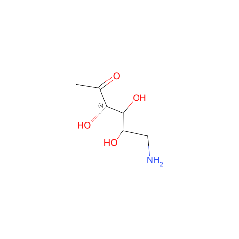 CC(=O)[C@@H](O)C(O)C(O)CN